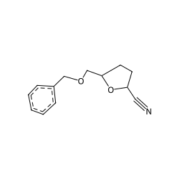 N#CC1CCC(COCc2ccccc2)O1